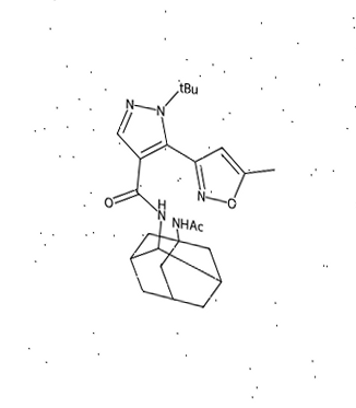 CC(=O)NC12CC3CC(C1)C(NC(=O)c1cnn(C(C)(C)C)c1-c1cc(C)on1)C(C3)C2